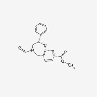 COC(=O)c1ccc2c(c1)OC(c1ccccc1)CN(C=O)C2